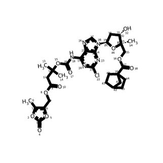 Cc1oc(=O)oc1COC(=O)CC(C)(C)OC(=O)Nc1nc(Cl)nc2c1ncn2[C@H]1C[C@H](O)[C@@](C)(COC(=O)C23CCC(CC2)C3)O1